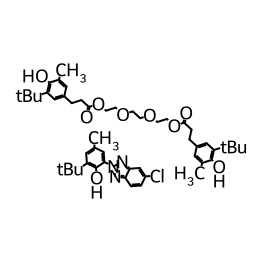 Cc1cc(-n2nc3ccc(Cl)cc3n2)c(O)c(C(C)(C)C)c1.Cc1cc(CCC(=O)OCCOCCOCCOC(=O)CCc2cc(C)c(O)c(C(C)(C)C)c2)cc(C(C)(C)C)c1O